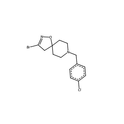 Clc1ccc(CN2CCC3(CC2)CC(Br)=NO3)cc1